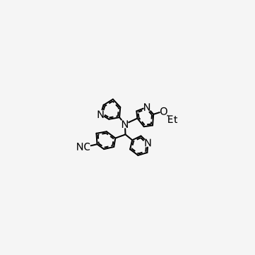 CCOc1ccc(N(c2cccnc2)C(c2ccc(C#N)cc2)c2cccnc2)cn1